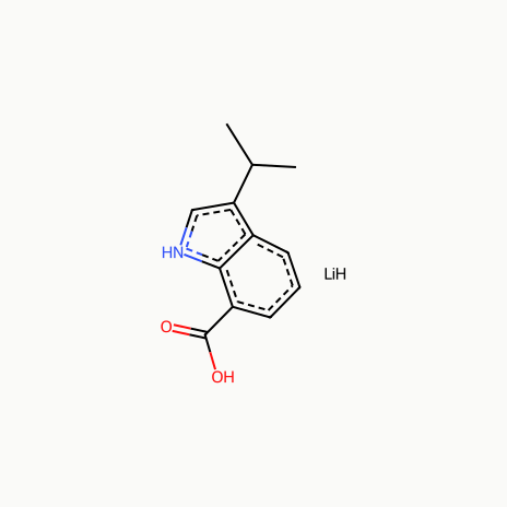 CC(C)c1c[nH]c2c(C(=O)O)cccc12.[LiH]